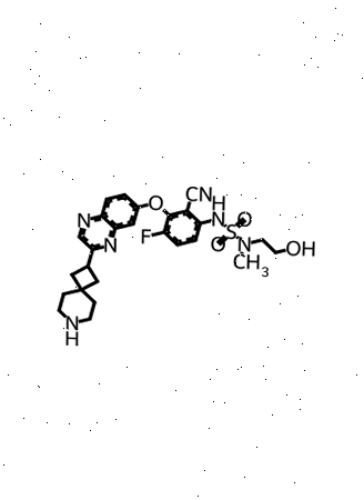 CN(CCO)S(=O)(=O)Nc1ccc(F)c(Oc2ccc3ncc(C4CC5(CCNCC5)C4)nc3c2)c1C#N